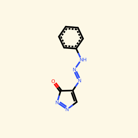 O=C1N=NC=C1N=NNc1ccccc1